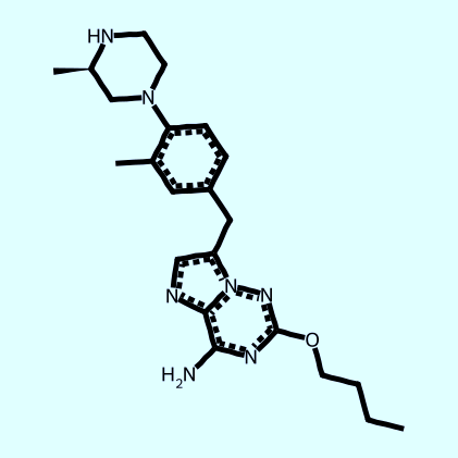 CCCCOc1nc(N)c2ncc(Cc3ccc(N4CCN[C@H](C)C4)c(C)c3)n2n1